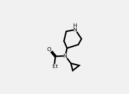 CCC(=O)N(C1CCNCC1)C1CC1